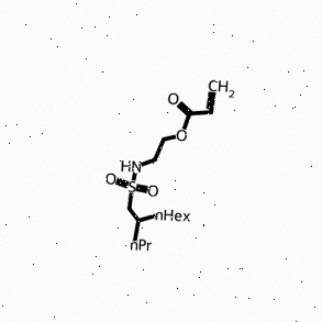 C=CC(=O)OCCNS(=O)(=O)CC(CCC)CCCCCC